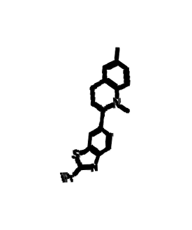 Cc1ccc2c(c1)CCC(c1ccc3nc(C(C)C)sc3c1)N2C